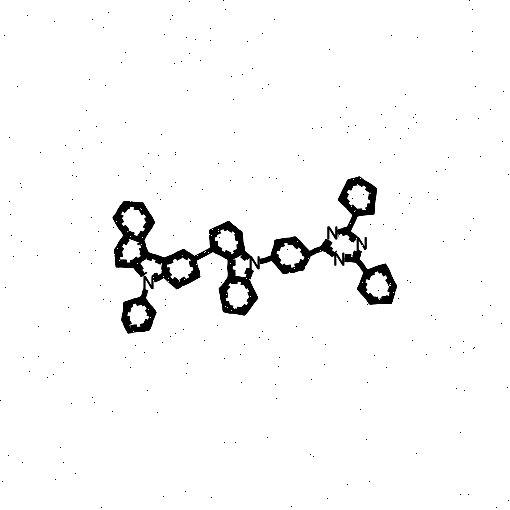 c1ccc(-c2nc(-c3ccccc3)nc(-c3ccc(-n4c5ccccc5c5c(-c6ccc7c(c6)c6c8ccccc8ccc6n7-c6ccccc6)cccc54)cc3)n2)cc1